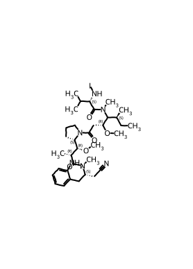 CC[C@H](C)C([C@@H](CC(=O)N1CCC[C@H]1[C@H](OC)[C@@H](C)C(=O)N(C)[C@H](CC#N)Cc1ccccc1N)OC)N(C)C(=O)[C@@H](NI)C(C)C